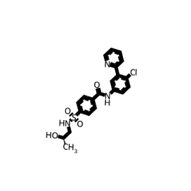 C[C@H](O)CNS(=O)(=O)c1ccc(C(=O)Nc2ccc(Cl)c(-c3ccccn3)c2)cc1